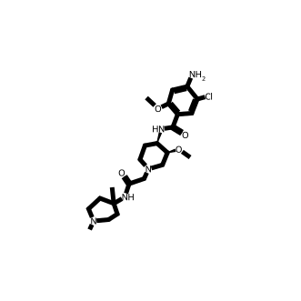 COc1cc(N)c(Cl)cc1C(=O)N[C@@H]1CCN(CC(=O)NC2(C)CCN(C)CC2)C[C@@H]1OC